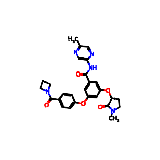 Cc1cnc(NC(=O)c2cc(Oc3ccc(C(=O)N4CCC4)cc3)cc(OC3CCN(C)C3=O)c2)cn1